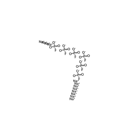 O=P([O-])([O-])F.O=P([O-])([O-])F.O=P([O-])([O-])F.O=P([O-])([O-])F.O=P([O-])([O-])F.O=P([O-])([O-])F.[Na+].[Na+].[Na+].[Na+].[Na+].[Na+].[Na+].[Na+].[Na+].[Na+].[Na+].[Na+]